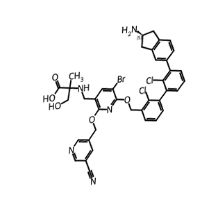 CC(CO)(NCc1cc(Br)c(OCc2cccc(-c3cccc(-c4ccc5c(c4)C[C@@H](N)C5)c3Cl)c2Cl)nc1OCc1cncc(C#N)c1)C(=O)O